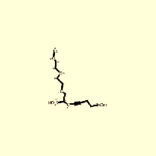 CCCCCCCCCCCCC#COC(COCCOCCOCC)S(=O)(=O)O